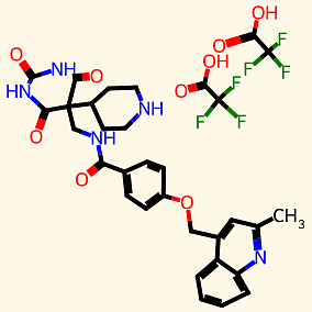 Cc1cc(COc2ccc(C(=O)NCC3(C4CCNCC4)C(=O)NC(=O)NC3=O)cc2)c2ccccc2n1.O=C(O)C(F)(F)F.O=C(O)C(F)(F)F